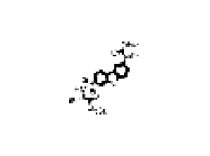 CCN(C(=O)OC)c1ccc2oc3cc(S(=O)(=O)N[C@H](C(=O)OC(C)(C)C)C(C)C)ccc3c2c1